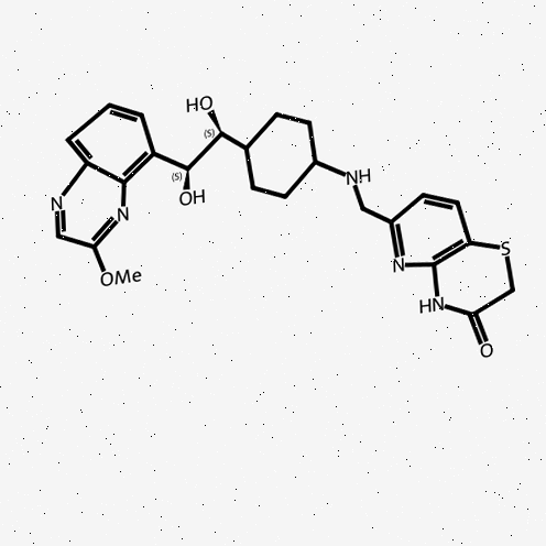 COc1cnc2cccc([C@H](O)[C@@H](O)C3CCC(NCc4ccc5c(n4)NC(=O)CS5)CC3)c2n1